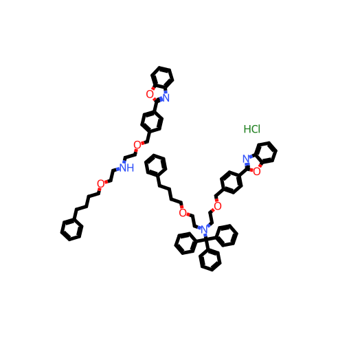 Cl.c1ccc(CCCCOCCN(CCOCc2ccc(-c3nc4ccccc4o3)cc2)C(c2ccccc2)(c2ccccc2)c2ccccc2)cc1.c1ccc(CCCCOCCNCCOCc2ccc(-c3nc4ccccc4o3)cc2)cc1